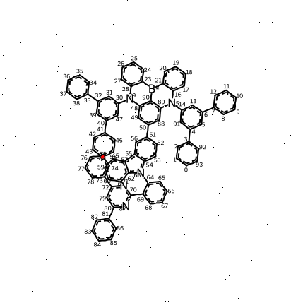 c1ccc(-c2cc(-c3ccccc3)cc(N3c4ccccc4B4c5ccccc5N(c5cc(-c6ccccc6)cc(-c6ccccc6)c5)c5cc(-c6ccc7c(c6)c6ccccc6n7-c6ccccc6-c6nc(-c7ccccc7)cc(-c7ccccc7)n6)cc3c54)c2)cc1